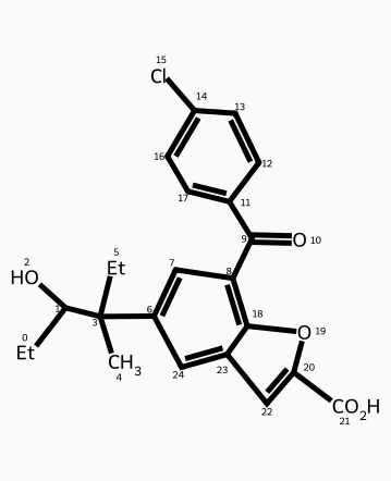 CCC(O)C(C)(CC)c1cc(C(=O)c2ccc(Cl)cc2)c2oc(C(=O)O)cc2c1